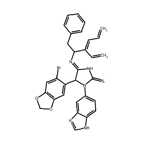 C=C/C=C(\C=C)C(Cc1ccccc1)/N=C1\NC(=S)N(c2ccc3[nH]cnc3c2)C1c1cc2c(cc1Br)OCO2